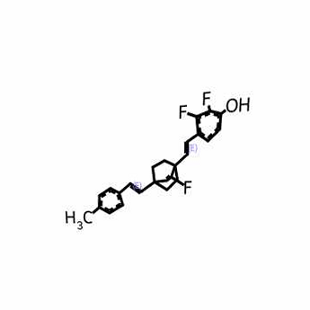 Cc1ccc(/C=C/C23C=C(F)C(/C=C/c4ccc(O)c(F)c4F)(CC2)CC3)cc1